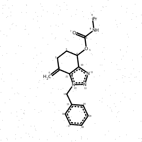 C=C1CCC(OC(=O)NC(C)C)c2nnn(Cc3ccccc3)c21